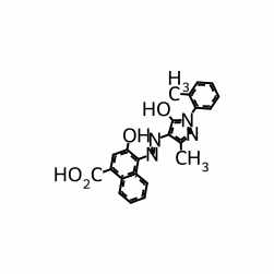 Cc1ccccc1-n1nc(C)c(N=Nc2c(O)cc(C(=O)O)c3ccccc23)c1O